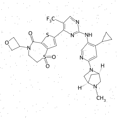 CN1C[C@H]2C[C@@H]1CN2c1cc(C2CC2)c(Nc2ncc(C(F)(F)F)c(-c3cc4c(s3)C(=O)N(C3COC3)CCS4(=O)=O)n2)cn1